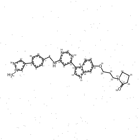 Cn1cc(-c2ccc(CNc3cc(-c4cnc5cc(OCCCN6CCCC6=O)ccn45)ncn3)cc2)cn1